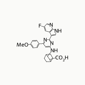 COc1ccc(-c2cc(NC3C4CCC(CC4)C3C(=O)O)nc(-c3c[nH]c4ncc(F)cc34)n2)cc1